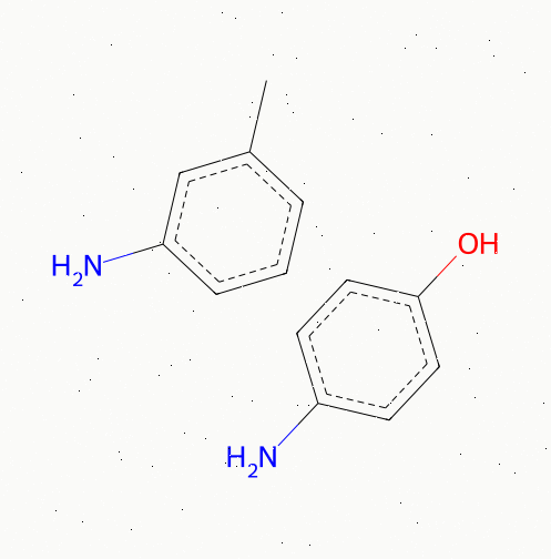 Cc1cccc(N)c1.Nc1ccc(O)cc1